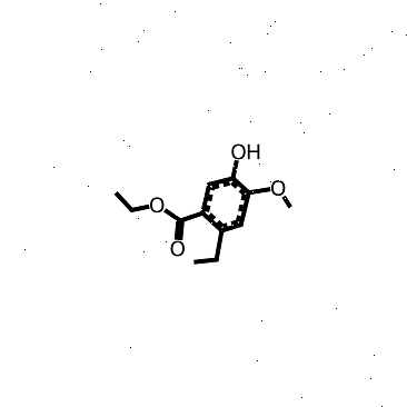 CCOC(=O)c1cc(O)c(OC)cc1CC